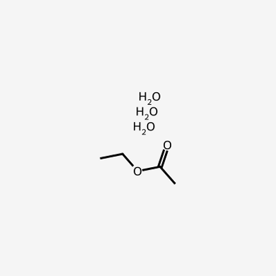 CCOC(C)=O.O.O.O